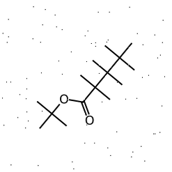 CC(C)(C)OC(=O)C(C)(C)C(C)(C)C(C)(C)C